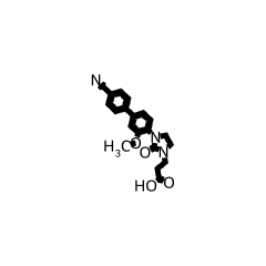 COc1cc(-c2ccc(C#N)cc2)ccc1N1CCN(CCC(=O)O)C1=O